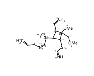 C=CC/N=C\N(C)C1C(C=C)C(COC)(OC)C1SC=N